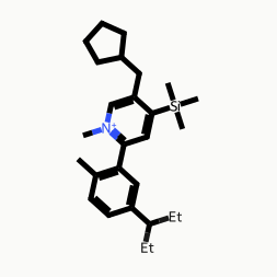 CCC(CC)c1ccc(C)c(-c2cc([Si](C)(C)C)c(CC3CCCC3)c[n+]2C)c1